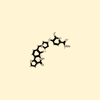 CNC(=O)c1ccc(O[C@@H]2CCN(Cc3ccc4c5c(c(=O)[nH]c4c3F)CCO5)C2)c(F)n1